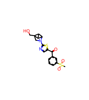 CS(=O)(=O)c1cccc(C(=O)c2cnc(N3CC4(CO)C5C3C54)s2)c1